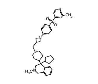 Cc1cc(S(=O)(=O)c2ccc(N3CC(CN4CCC(C5(C6=CCCC6)CN(C)Cc6ccccc65)CC4)C3)cc2)ccn1